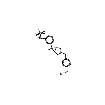 CC1(c2cccc(NS(C)(=O)=O)c2)C2CN(Cc3ccc(CC#N)cc3)CC21